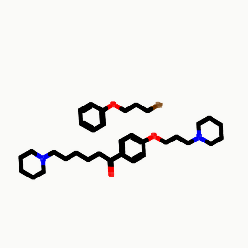 BrCCCOc1ccccc1.O=C(CCCCCN1CCCCC1)c1ccc(OCCCN2CCCCC2)cc1